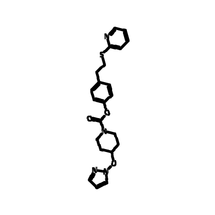 O=C(Oc1ccc(CCSc2ccccn2)cc1)N1CCC(On2cccn2)CC1